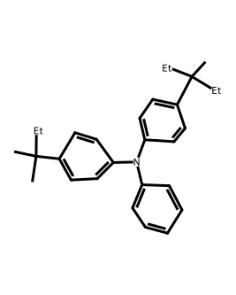 CCC(C)(C)c1ccc(N(c2ccccc2)c2ccc(C(C)(CC)CC)cc2)cc1